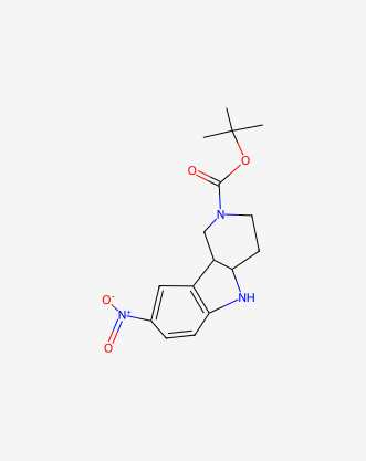 CC(C)(C)OC(=O)N1CCC2Nc3ccc([N+](=O)[O-])cc3C2C1